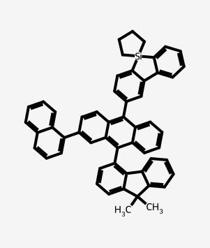 CC1(C)c2ccccc2-c2c(-c3c4ccccc4c(-c4ccc5c(c4)-c4ccccc4[Si]54CCCC4)c4ccc(-c5cccc6ccccc56)cc34)cccc21